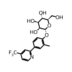 Cc1cc(-c2cc(C(F)(F)F)ccn2)ccc1O[C@H]1O[C@H](CO)[C@@H](O)[C@H](O)[C@@H]1O